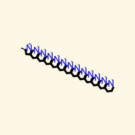 C[C@@H]1CC2=C(N(C)C3=C(CC4=C(N(C)C5=C(CC6=C(N(C)C7=C(CC8=C(N(C)C9=C(CC%10=C(N(C)C%11=C(CC%12=C(N(C)C%13=C(CCCN%13C)C%12)N%11C)C%10)N9C)C8)N7C)C6)N5C)C4)N3C)C2)N1C